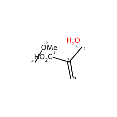 C=C(C)C(=O)O.COC.O